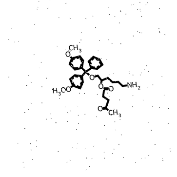 COc1ccc(C(OCC(CCCCN)OC(=O)CCC(C)=O)(c2ccccc2)c2ccc(OC)cc2)cc1